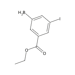 Bc1cc(I)cc(C(=O)OCC)c1